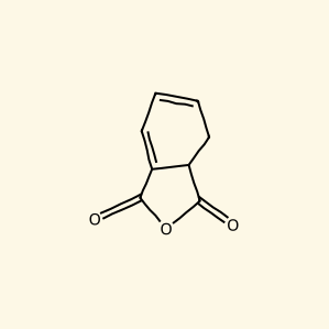 O=C1OC(=O)C2CC=CC=C12